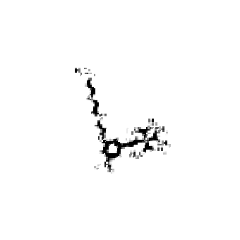 COCCOCCOCCOc1cc(C#C[Si](C(C)C)(C(C)C)C(C)C)cc([N+](=O)[O-])c1